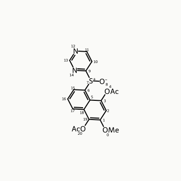 COc1cc(OC(C)=O)c2c([S+]([O-])c3ccncn3)cccc2c1OC(C)=O